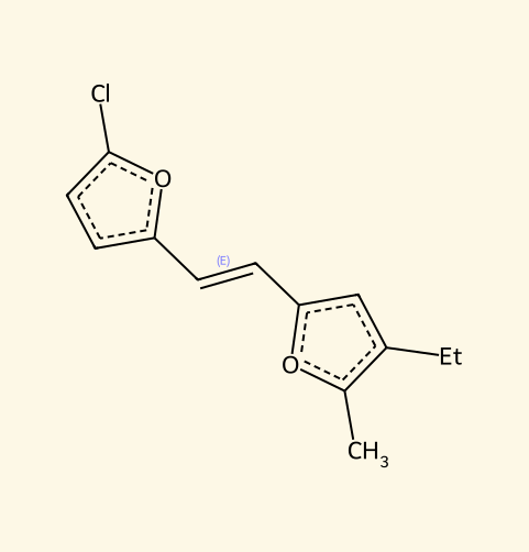 CCc1cc(/C=C/c2ccc(Cl)o2)oc1C